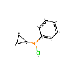 ClP(c1ccccc1)C1CC1